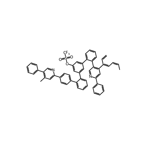 C=C/C(=C\C=C/C)c1cc(-c2ccccc2)ncc1-c1ccccc1-c1cc(OS(=O)(=O)C(F)(F)F)cc(-c2ccccc2-c2ccc(-c3cc(C)c(-c4ccccc4)cn3)cc2)c1